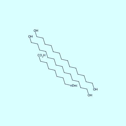 CCCCCCCCCCCCCCCCCC(=O)O.OCCCCCCCCCCCCCCO.OCCCCCCCCCCCCCCO